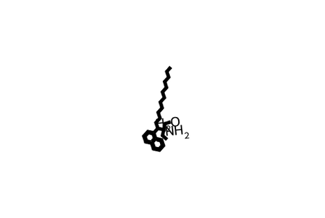 CCCCCCCCCCCCC(c1cccc2ccccc12)C(N)(CC)CC.O